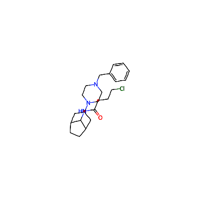 O=C(CCCCl)NC1C2CCC1CC(N1CCN(Cc3ccccc3)CC1)C2